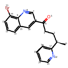 C[C@H](CCC(=O)c1cnc2c(Br)cccc2c1)c1ccccn1